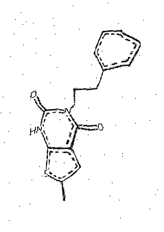 Cc1cc2c(=O)n(CCc3ccccc3)c(=O)[nH]c2s1